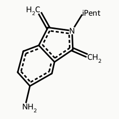 C=c1c2ccc(N)cc2c(=C)n1C(C)CCC